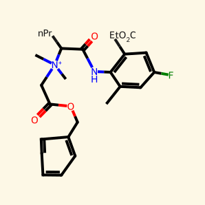 CCCC(C(=O)Nc1c(C)cc(F)cc1C(=O)OCC)[N+](C)(C)CC(=O)OCc1ccccc1